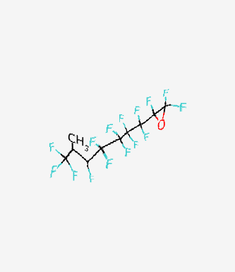 CC(C(F)C(F)(F)C(F)(F)C(F)(F)C(F)(F)C1(F)OC1(F)F)C(F)(F)F